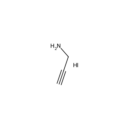 C#CCN.I